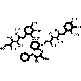 CCCCC(=Nc1ccccc1)C(CCCC)=Nc1ccccc1.O=C([O-])c1c(CC(O)C(O)C(O)C(O)CO)ccc(O)c1O.O=C([O-])c1c(CC(O)C(O)C(O)C(O)CO)ccc(O)c1O.[Ni+2]